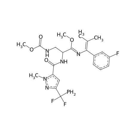 COC(=O)NCC(NC(=O)c1cc(C(F)(F)P)nn1C)/C(=N/C(=C(C)C)c1cccc(F)c1)OC